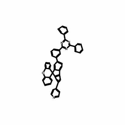 c1ccc(-c2nc(-c3ccccc3)nc(-c3cccc(-c4ccc5c(c4)C4(c6ccccc6Oc6ccccc64)c4cc(-c6ccncc6)ccc4-5)c3)n2)cc1